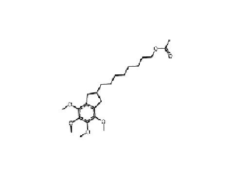 COc1c2c(c(OC)c(OC)c1OC)CC(CCCCCCCCOC(C)=O)C2